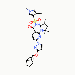 Cc1cn(C)cc1S(=O)(=O)NC(=O)c1ccc(-n2ccc(OCC3C4CCC3CC4)n2)nc1N1C[C@@H](C)CC1(C)C